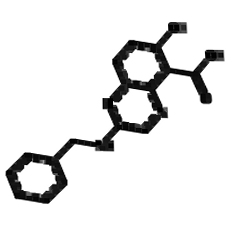 O=C(O)c1c(O)ccc2nc(NCc3ccccc3)cnc12